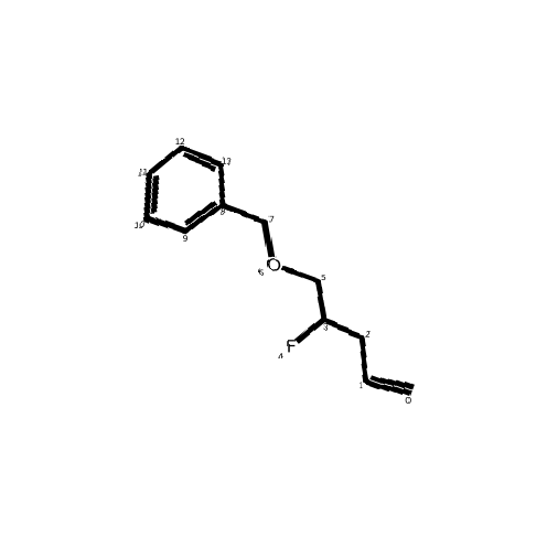 C=CCC(F)COCc1ccccc1